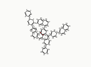 C1=CC(c2ccccc2)CC=C1c1nc2c(ccc3cc(-c4cc(-c5ccccc5)ccc4N(C4=CCC(c5ccc6ccccc6c5)C=C4)c4cccc(-c5cccc6ccccc56)c4)ccc32)o1